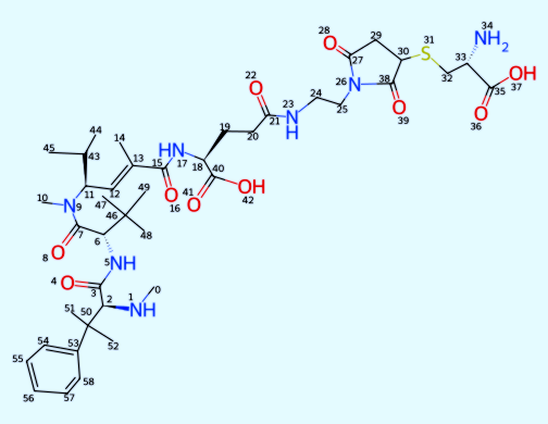 CN[C@H](C(=O)N[C@H](C(=O)N(C)[C@H](/C=C(\C)C(=O)N[C@@H](CCC(=O)NCCN1C(=O)CC(SC[C@H](N)C(=O)O)C1=O)C(=O)O)C(C)C)C(C)(C)C)C(C)(C)c1ccccc1